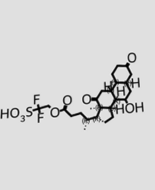 C[C@H](CCC(=O)OCC(F)(F)S(=O)(=O)O)[C@H]1CC[C@H]2[C@@H]3C(O)C[C@@H]4CC(=O)CC[C@]4(C)[C@H]3CC(=O)[C@]12C